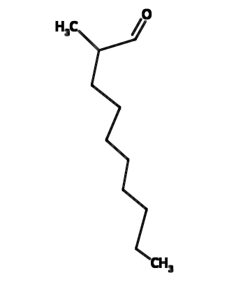 CCCCCCCCC(C)C=O